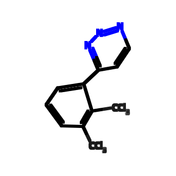 ClC(Cl)(Cl)c1cccc(-c2ccnnn2)c1C(Cl)(Cl)Cl